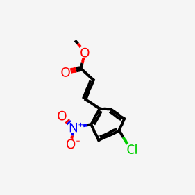 COC(=O)C=Cc1ccc(Cl)cc1[N+](=O)[O-]